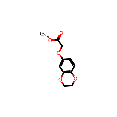 CC(C)(C)OC(=O)COc1ccc2c(c1)OCCO2